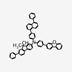 CC1(C)c2cc(-c3ccccc3)ccc2-c2ccc(N(c3ccc(-c4ccc5c(c4)oc4ccccc45)cc3)c3ccc(-c4cccc5c(-c6ccccc6)cccc45)cc3)cc21